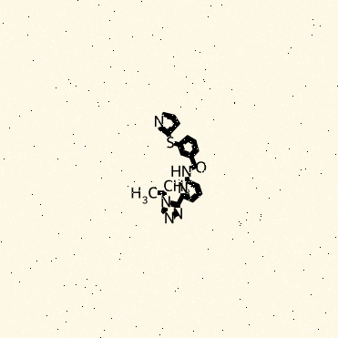 CC(C)n1cnnc1-c1cccc(NC(=O)c2cccc(Sc3cccnc3)c2)n1